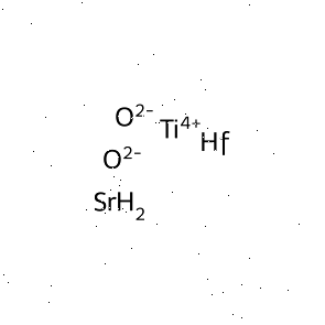 [Hf].[O-2].[O-2].[SrH2].[Ti+4]